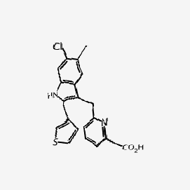 Cc1cc2c(Cc3cccc(C(=O)O)n3)c(-c3ccsc3)[nH]c2cc1Cl